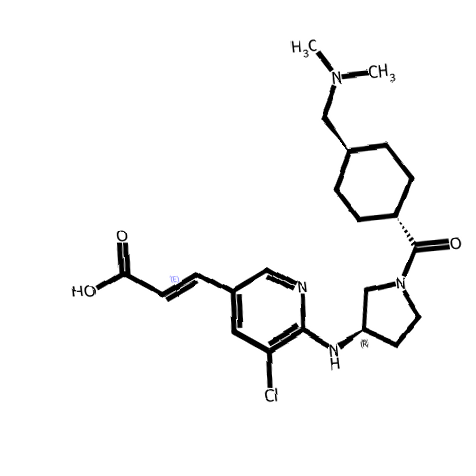 CN(C)C[C@H]1CC[C@H](C(=O)N2CC[C@@H](Nc3ncc(/C=C/C(=O)O)cc3Cl)C2)CC1